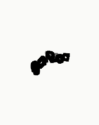 CS(=O)(=O)c1ccc([N+]([O-])=Cc2ccc(Cl)cc2)cc1